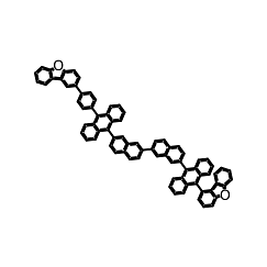 c1ccc2c(c1)oc1ccc(-c3ccc(-c4c5ccccc5c(-c5ccc6ccc(-c7ccc8ccc(-c9c%10ccccc%10c(-c%10cccc%11oc%12ccccc%12c%10%11)c%10ccccc9%10)cc8c7)cc6c5)c5ccccc45)cc3)cc12